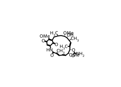 COC1=C2C[C@@H](C)C[C@H](OC)[C@H](O)[C@@H](C)/C=C(\C)[C@H](OC(N)=O)[C@@H](OC)/C=C/C=C(\C)C(=O)NC(=CC1=O)C2=O